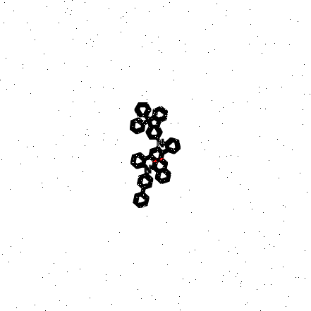 c1ccc(-c2ccc(N(c3ccccc3-c3ccc4c5ccccc5n(-c5ccc6c(c5)-c5ccccc5C6(c5ccccc5)c5ccccc5)c4c3)c3cccc4ccccc34)cc2)cc1